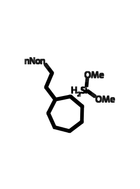 CCCCCCCCCCCC1CCCCCC1.CO[SiH2]OC